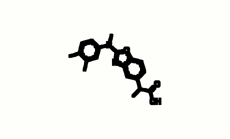 Cc1ccc(N(C)c2nc3cc(C(C)C(=O)O)ccc3o2)cc1C